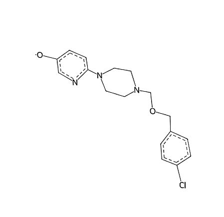 [O]c1ccc(N2CCN(COCc3ccc(Cl)cc3)CC2)nc1